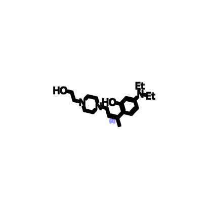 CCN(CC)c1ccc(/C(C)=C\CN2CCN(CCO)CC2)c(O)c1